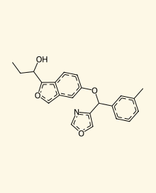 CCC(O)c1occ2cc(OC(c3cccc(C)c3)c3cocn3)ccc12